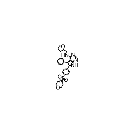 O=S(=O)(c1ccc(-c2[nH]c3ncnc(NCC4CCCO4)c3c2-c2ccccc2)cc1)N1CCOCC1